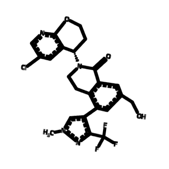 Cn1cc(-c2cc(CO)cc3c2CCN([C@H]2CCOc4ncc(Cl)cc42)C3=O)c(C(F)(F)F)n1